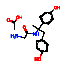 CC(=O)O.CC(Cc1ccc(O)cc1)(NC(=O)CN)c1ccc(O)cc1